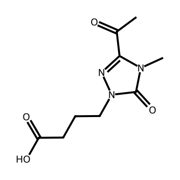 CC(=O)c1nn(CCCC(=O)O)c(=O)n1C